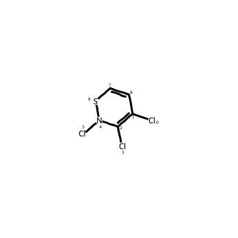 ClC1=C(Cl)N(Cl)SC=C1